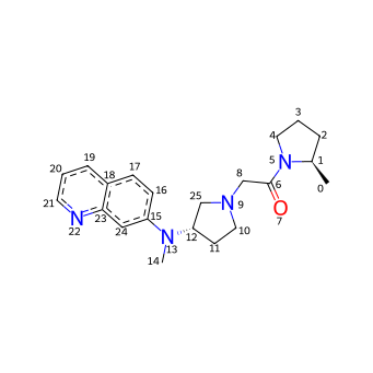 C[C@@H]1CCCN1C(=O)CN1CC[C@H](N(C)c2ccc3cccnc3c2)C1